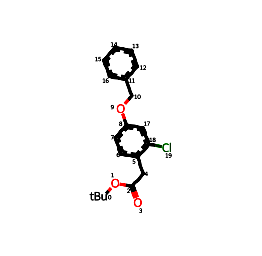 CC(C)(C)OC(=O)Cc1ccc(OCc2ccccc2)cc1Cl